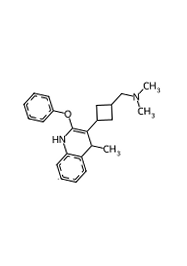 CC1C(C2CC(CN(C)C)C2)=C(Oc2ccccc2)Nc2c[c]ccc21